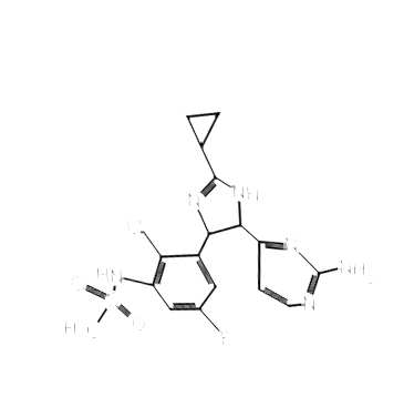 CS(=O)(=O)Nc1cc(F)cc(C2N=C(C3CC3)NC2c2ccnc(N)n2)c1Cl